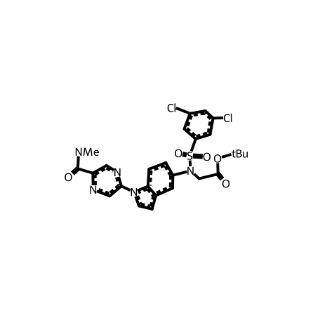 CNC(=O)c1cnc(-n2ccc3cc(N(CC(=O)OC(C)(C)C)S(=O)(=O)c4cc(Cl)cc(Cl)c4)ccc32)cn1